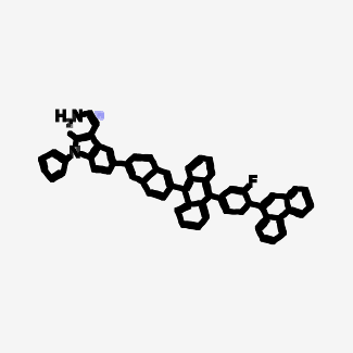 Cc1c(/C=C\N)c2cc(C3=CC4C=CC(c5c6ccccc6c(C6=CCC(c7cc8ccccc8c8ccccc78)C(F)=C6)c6ccccc56)=CC4C=C3)ccc2n1-c1ccccc1